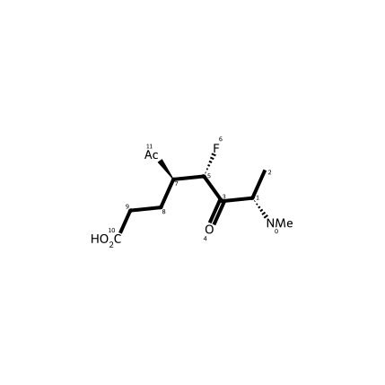 CN[C@@H](C)C(=O)[C@@H](F)[C@@H](CCC(=O)O)C(C)=O